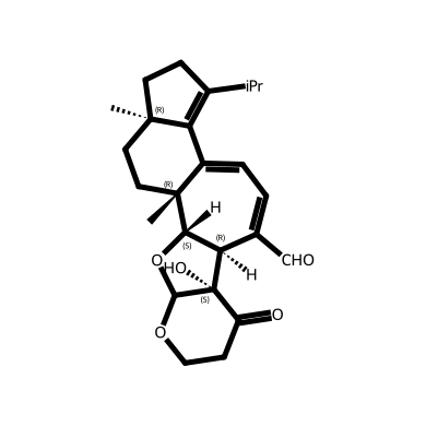 CC(C)C1=C2C3=CC=C(C=O)[C@@H]4[C@H](OC5OCCC(=O)[C@@]54O)[C@]3(C)CC[C@@]2(C)CC1